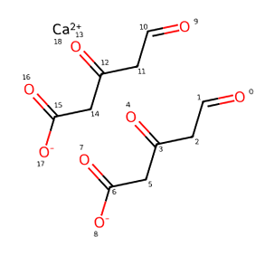 O=CCC(=O)CC(=O)[O-].O=CCC(=O)CC(=O)[O-].[Ca+2]